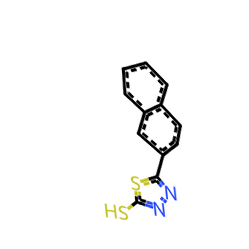 Sc1nnc(-c2ccc3ccccc3c2)s1